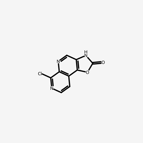 O=c1[nH]c2cnc3c(Cl)nccc3c2o1